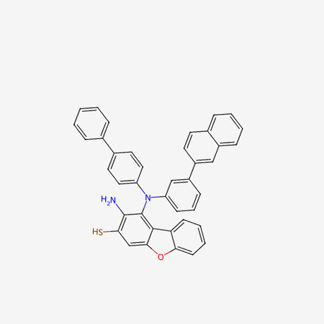 Nc1c(S)cc2oc3ccccc3c2c1N(c1ccc(-c2ccccc2)cc1)c1cccc(-c2ccc3ccccc3c2)c1